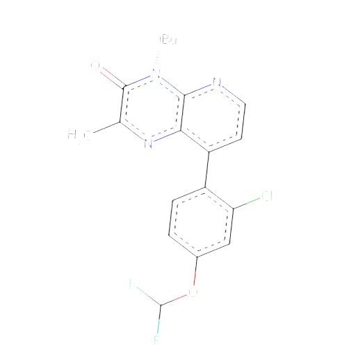 CC[C@@H](C)n1c(=O)c(C)nc2c(-c3ccc(OC(F)F)cc3Cl)ccnc21